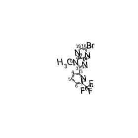 Cn1c(-c2cccc(C(F)(F)F)n2)nc2nc(Br)cnc21